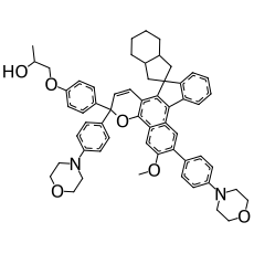 COc1cc2c3c(c4c(c2cc1-c1ccc(N2CCOCC2)cc1)-c1ccccc1C41CC2CCCCC2C1)C=CC(c1ccc(OCC(C)O)cc1)(c1ccc(N2CCOCC2)cc1)O3